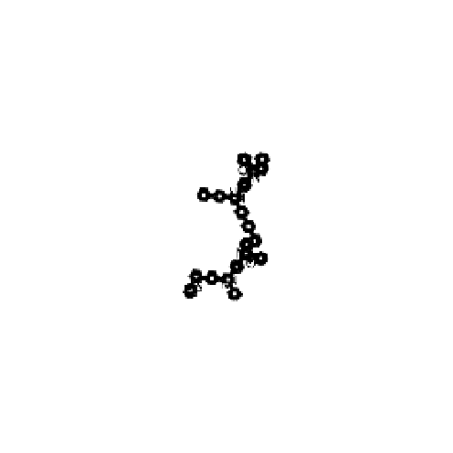 c1ccc(-c2ccc(-c3cc(-c4ccc(-c5ccc(-c6cccc7c6ccc6nc(-c8ccc(-c9cc(-c%10ccc(-c%11cccc%12c%11sc%11ccccc%11%12)cc%10)nc(-c%10ccccc%10)n9)cc8)c8oc9ccccc9c8c67)cc5)cc4)nc(-c4ccc(-c5nc6ccc7ccccc7c6c6c5oc5ccccc56)cc4)n3)cc2)cc1